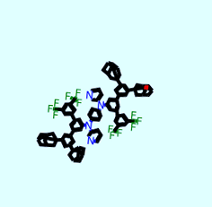 FC(F)(F)c1cc(-c2cc(-c3cc(C45CC6CC(CC(C6)C4)C5)cc(C45CC6CC(CC(C6)C4)C5)c3)cc(N(c3ccc(N(c4cccnc4)c4cc(-c5cc(C(F)(F)F)cc(C(F)(F)F)c5)cc(-c5cc(C67CC8CC(CC(C8)C6)C7)cc(C67CC8CC(CC6C8)C7)c5)c4)cc3)c3cccnc3)c2)cc(C(F)(F)F)c1